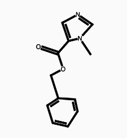 Cn1cncc1C(=O)OCc1ccccc1